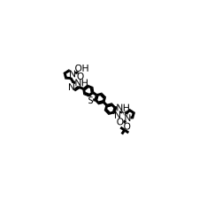 CC(C)(C)OC(=O)N1CCC[C@H]1c1nc2ccc(-c3ccc4c(c3)sc3cc(-c5cnc(C6CCCN6C(=O)O)[nH]5)ccc34)cc2[nH]1